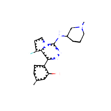 CN1CCCC(Nc2nnc(-c3ccc(C(F)(F)F)cc3O)c3c(F)ccn23)C1